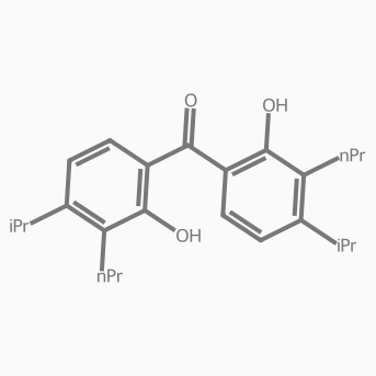 CCCc1c(C(C)C)ccc(C(=O)c2ccc(C(C)C)c(CCC)c2O)c1O